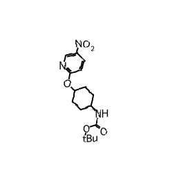 CC(C)(C)OC(=O)NC1CCC(Oc2ccc([N+](=O)[O-])cn2)CC1